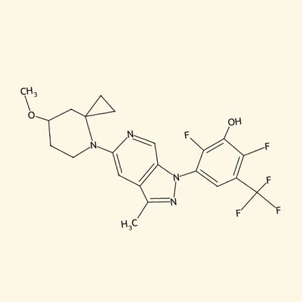 COC1CCN(c2cc3c(C)nn(-c4cc(C(F)(F)F)c(F)c(O)c4F)c3cn2)C2(CC2)C1